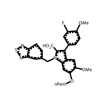 CCCCCOc1cc2c(cc1OC)c(-c1ccc(OC)c(F)c1)c(C(=O)O)n2Cc1ccc2nsnc2c1